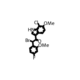 COc1cc(F)ccc1C(Br)C(=O)c1c[nH]c2c(Cl)c(OC)ccc12